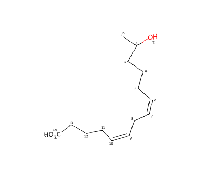 CC(O)CCC/C=C\C/C=C\CCCC(=O)O